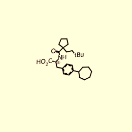 CC(C)(C)CCC1(C(=O)N[C@@H](Cc2ccc(C3CCCCCC3)cc2)C(=O)O)CCCC1